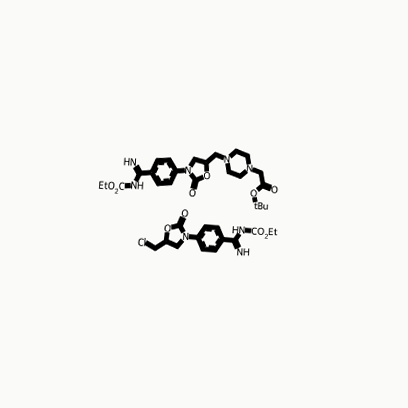 CCOC(=O)NC(=N)c1ccc(N2CC(CCl)OC2=O)cc1.CCOC(=O)NC(=N)c1ccc(N2CC(CN3CCN(CC(=O)OC(C)(C)C)CC3)OC2=O)cc1